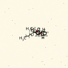 CCCCOC(=O)c1ccc(N2[C@@H]3CC[C@H]2CC(CC(=O)OCC)C3)cc1